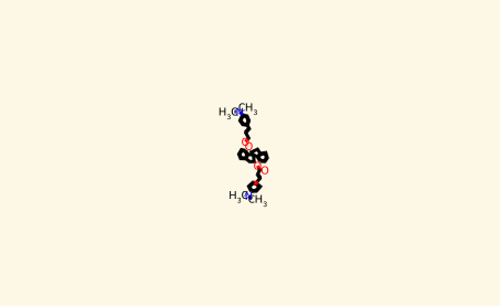 CN(C)c1ccc(/C=C/COOc2cccc3c2C2(CC3)CCc3cccc(OC(=O)/C=C/c4ccc(N(C)C)cc4)c32)cc1